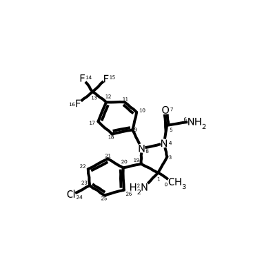 CC1(N)CN(C(N)=O)N(c2ccc(C(F)(F)F)cc2)C1c1ccc(Cl)cc1